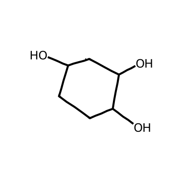 OC1[CH]C(O)C(O)CC1